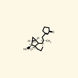 C#C[C@H]1[C@H]2C[C@H]2C2[C@H]([C@@H](C)CC3=CC(=O)CCC3)CCC[C@@]21C